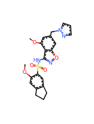 COc1cc2c(cc1S(=O)(=O)Nc1noc3cc(Cn4cccn4)cc(OC)c13)CCC2